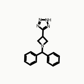 c1ccc(C(c2ccccc2)N2CC(c3nn[nH]n3)C2)cc1